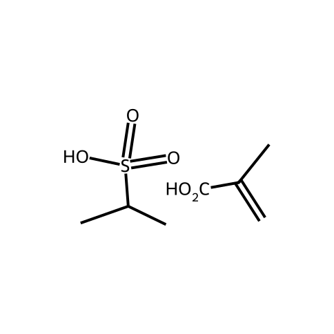 C=C(C)C(=O)O.CC(C)S(=O)(=O)O